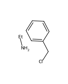 CCN.ClCc1ccccc1